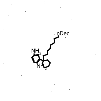 CCCCCCCCCCCCCCCCCCC1(c2cc(N)ccc2N)CCCCC1